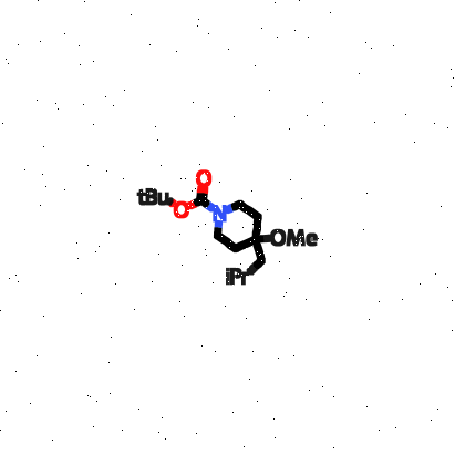 COC1(CC(C)C)CCN(C(=O)OC(C)(C)C)CC1